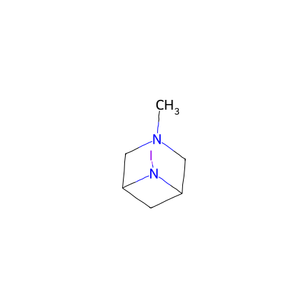 CN1CC2CC(C1)N2I